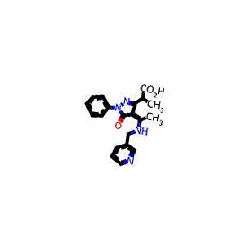 CC(NCc1cccnc1)=C1C(=O)N(c2ccccc2)N=C1C(C)C(=O)O